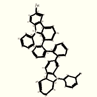 CC1C=CCC(N2c3cc(-c4ccccc4-c4ccccc4C4=c5c(c6cc(C#N)ccc6n5-c5ccccc5)=CCC4)ccc3C3C=CCCC32)C1